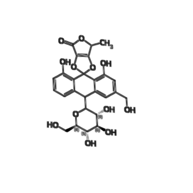 CC1OC(=O)C2=C1OC1(O2)c2c(O)cccc2C(C2O[C@H](CO)[C@@H](O)[C@H](O)[C@H]2O)c2cc(CO)cc(O)c21